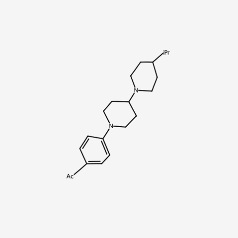 CC(=O)c1ccc(N2CCC(N3CCC(C(C)C)CC3)CC2)cc1